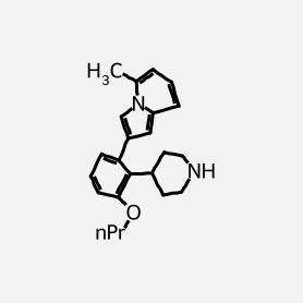 CCCOc1cccc(-c2cc3cccc(C)n3c2)c1C1CCNCC1